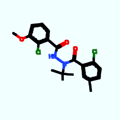 COc1cccc(C(=O)NN(C(=O)c2cc(C)ccc2Cl)C(C)(C)C)c1Cl